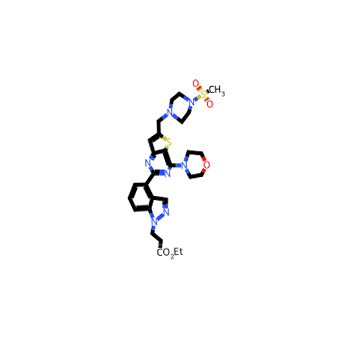 CCOC(=O)CCn1ncc2c(-c3nc(N4CCOCC4)c4sc(CN5CCN(S(C)(=O)=O)CC5)cc4n3)cccc21